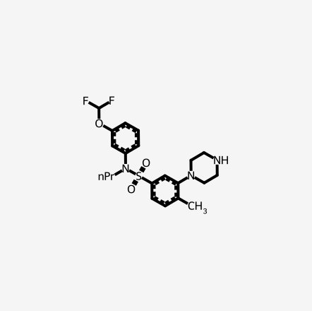 CCCN(c1cccc(OC(F)F)c1)S(=O)(=O)c1ccc(C)c(N2CCNCC2)c1